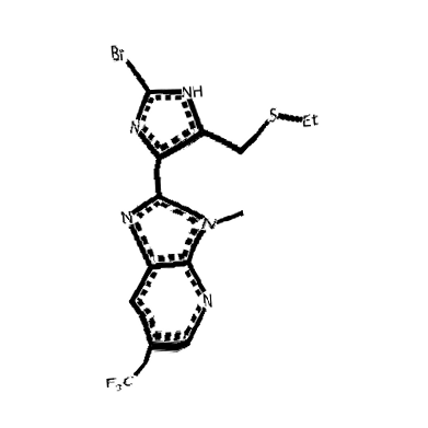 CCSCc1[nH]c(Br)nc1-c1nc2cc(C(F)(F)F)cnc2n1C